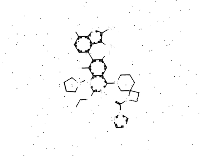 CC(Oc1nc(N2CCCC3(CCN3C(=O)n3cncn3)C2)c2cc(Cl)c(-c3ccc(F)c4sc(N)c(C#N)c34)c(F)c2n1)[C@@H]1CCCN1C